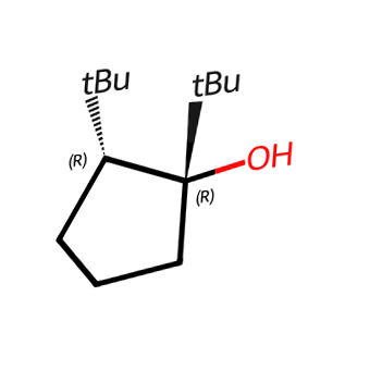 CC(C)(C)[C@H]1CCC[C@]1(O)C(C)(C)C